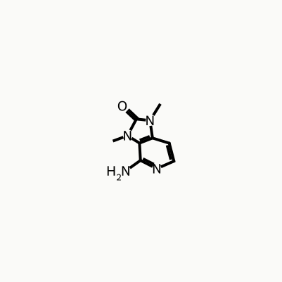 Cn1c(=O)n(C)c2c(N)nccc21